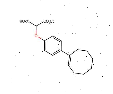 CCCCCCCCC(Oc1ccc(C2=CCCCCCC2)cc1)C(=O)OCC